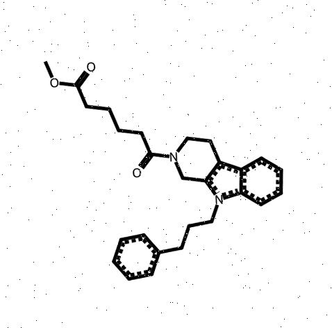 COC(=O)CCCCC(=O)N1CCc2c(n(CCCc3ccccc3)c3ccccc23)C1